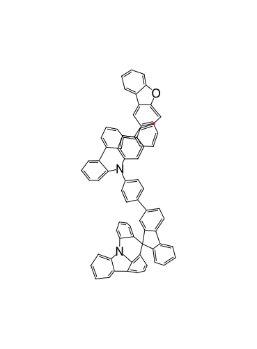 c1ccc(-c2cccc(-c3ccccc3N(c3ccc(-c4ccc5c(c4)C4(c6ccccc6-5)c5ccccc5-n5c6ccccc6c6cccc4c65)cc3)c3ccc(-c4ccc5oc6ccccc6c5c4)cc3)c2)cc1